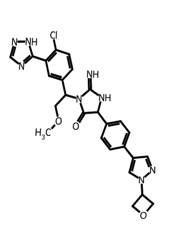 COCC(c1ccc(Cl)c(-c2ncn[nH]2)c1)N1C(=N)NC(c2ccc(-c3cnn(C4COC4)c3)cc2)C1=O